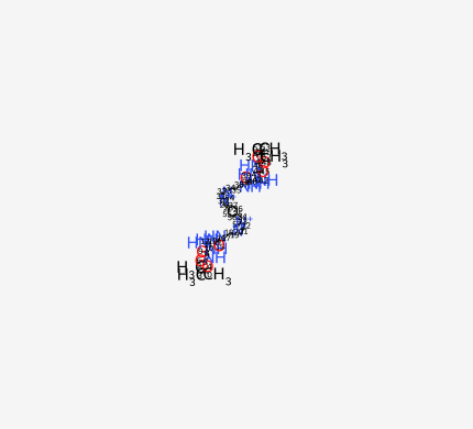 CC(C)(C)OC(=O)NC(=O)NC(=N)NC(=O)NCCCn1cc[n+](Cc2ccc(C[n+]3ccn(CCCNC(=O)NC(=N)NC(=O)NC(=O)OC(C)(C)C)c3)cc2)c1